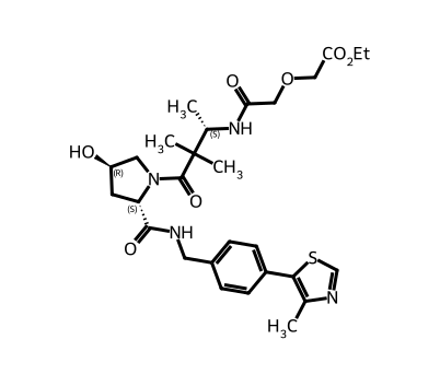 CCOC(=O)COCC(=O)N[C@@H](C)C(C)(C)C(=O)N1C[C@H](O)C[C@H]1C(=O)NCc1ccc(-c2scnc2C)cc1